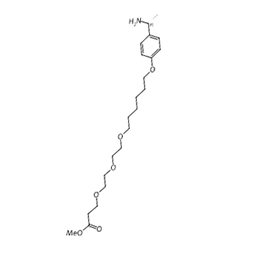 COC(=O)CCOCCOCCOCCCCCCOc1ccc([C@@H](C)N)cc1